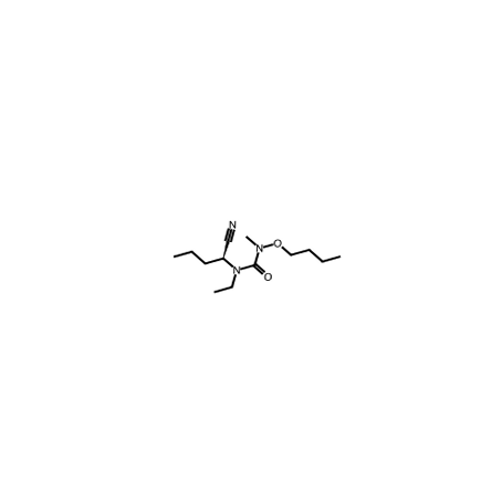 CCCCON(C)C(=O)N(CC)[C@H](C#N)CCC